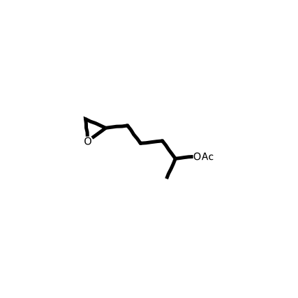 CC(=O)OC(C)CCCC1CO1